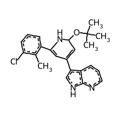 Cc1c(Cl)cccc1C1=CC(c2c[nH]c3ncccc23)=CC(OC(C)(C)C)N1